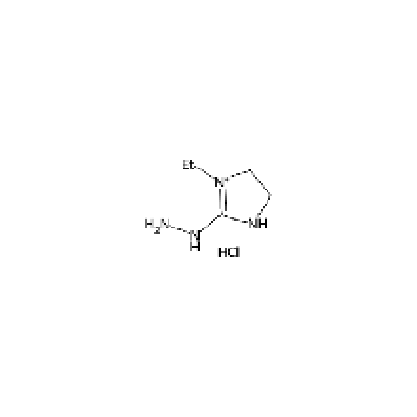 CC[N+]1=C(NN)NCC1.Cl